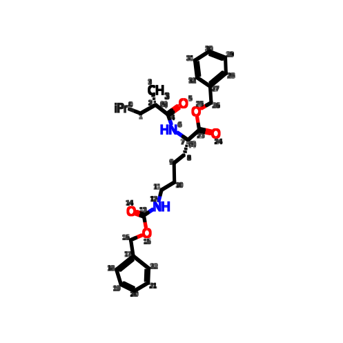 CC(C)C[C@H](C)C(=O)N[C@@H](CCCCNC(=O)OCc1ccccc1)C(=O)OCc1ccccc1